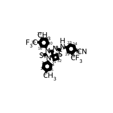 Cc1ccc(N2C(=S)N(c3ccc(C)c(C(F)(F)F)c3)C(=NC(=S)Nc3ccc(C#N)c(C(F)(F)F)c3)C23CCC3)cc1